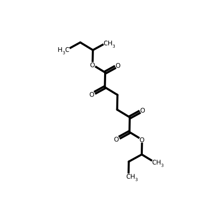 CCC(C)OC(=O)C(=O)CCC(=O)C(=O)OC(C)CC